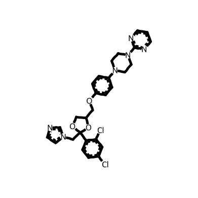 Clc1ccc(C2(Cn3ccnc3)OCC(COc3ccc(N4CCN(c5ncccn5)CC4)cc3)O2)c(Cl)c1